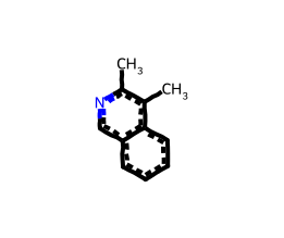 Cc1ncc2ccccc2c1C